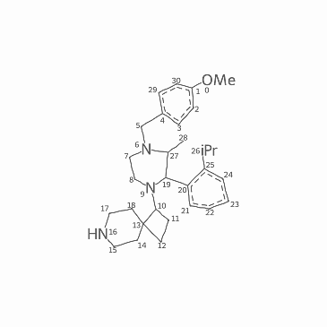 COc1ccc(CN2CCN(C3CCC34CCNCC4)C(c3ccccc3C(C)C)C2C)cc1